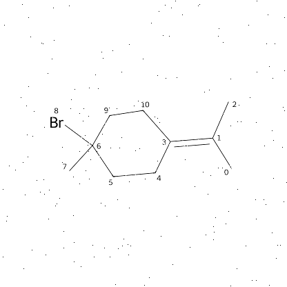 CC(C)=C1CCC(C)(Br)CC1